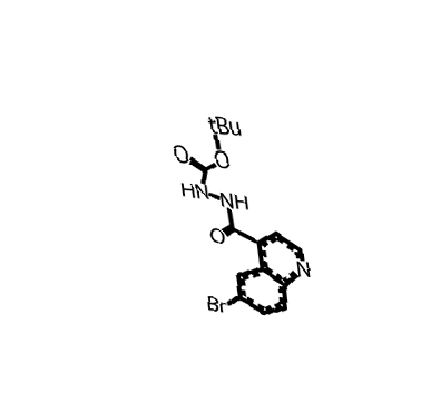 CC(C)(C)OC(=O)NNC(=O)c1ccnc2ccc(Br)cc12